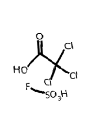 O=C(O)C(Cl)(Cl)Cl.O=S(=O)(O)F